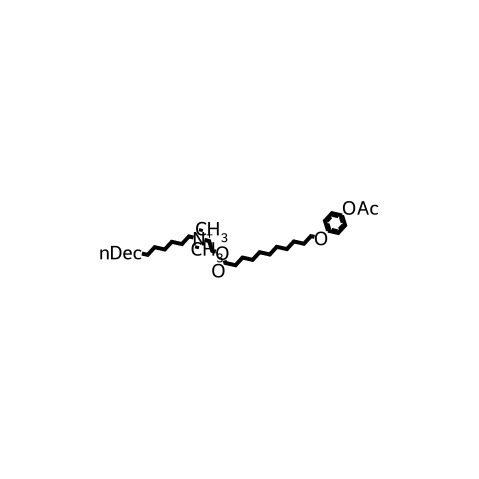 CCCCCCCCCCCCCCCC[N+](C)(C)CCOC(=O)CCCCCCCCCCOc1ccc(OC(C)=O)cc1